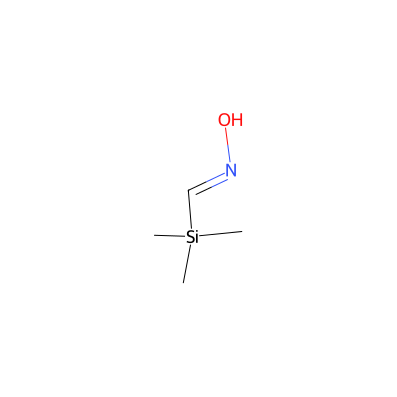 C[Si](C)(C)C=NO